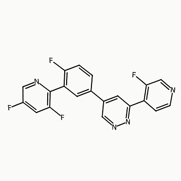 Fc1cnc(-c2cc(-c3cnnc(-c4ccncc4F)c3)ccc2F)c(F)c1